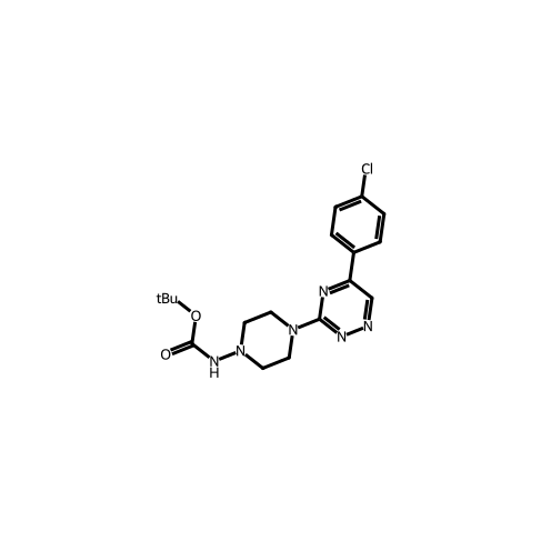 CC(C)(C)OC(=O)NN1CCN(c2nncc(-c3ccc(Cl)cc3)n2)CC1